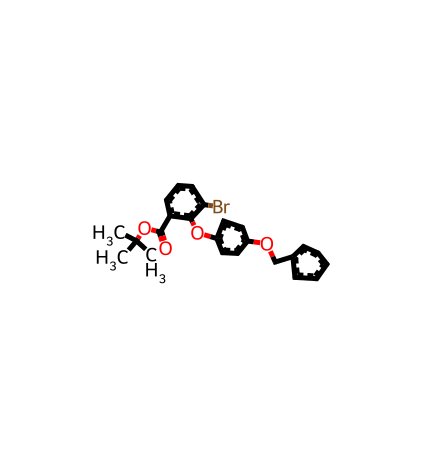 CC(C)(C)OC(=O)c1cccc(Br)c1Oc1ccc(OCc2ccccc2)cc1